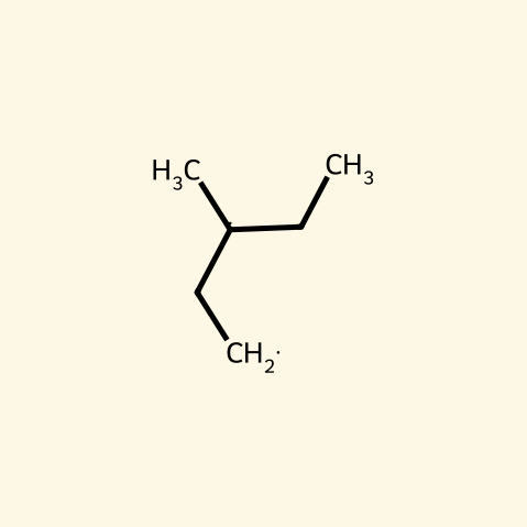 [CH2]C[C](C)CC